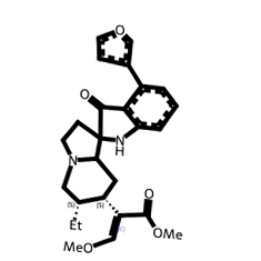 CC[C@@H]1CN2CCC3(Nc4cccc(-c5ccoc5)c4C3=O)C2C[C@@H]1/C(=C\OC)C(=O)OC